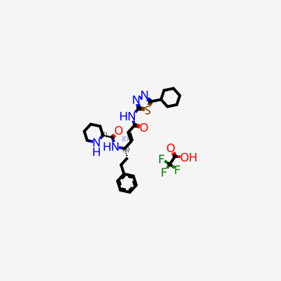 O=C(/C=C/[C@H](CCc1ccccc1)NC(=O)[C@@H]1CCCCN1)Nc1nnc(C2CCCCC2)s1.O=C(O)C(F)(F)F